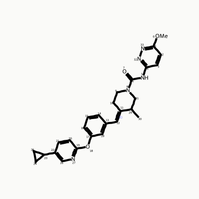 COc1ccc(NC(=O)N2CC/C(=C\c3cccc(Oc4ccc(C5CC5)cn4)c3)C(C)C2)nn1